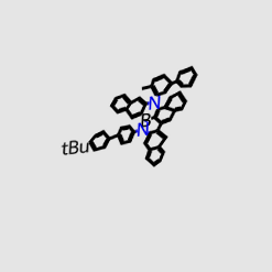 Cc1ccc(-c2ccccc2)cc1N1c2cc3ccccc3cc2B2c3c(cc4ccccc4c31)-c1cc3ccccc3cc1N2c1ccc(-c2ccc(C(C)(C)C)cc2)cc1